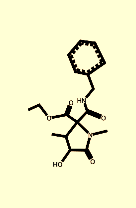 CCOC(=O)C1(C(=O)NCc2ccccc2)C(C)C(O)C(=O)N1C